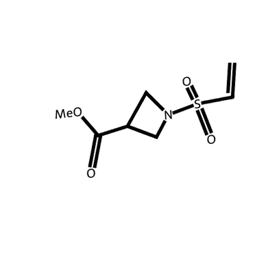 C=CS(=O)(=O)N1CC(C(=O)OC)C1